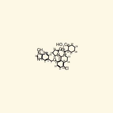 Cn1cnc2cc(COc3ccc(Cl)c4c3C(N3CCCC3=O)N(C(=O)C3CCCCC3C(=O)O)CC4)cnc21